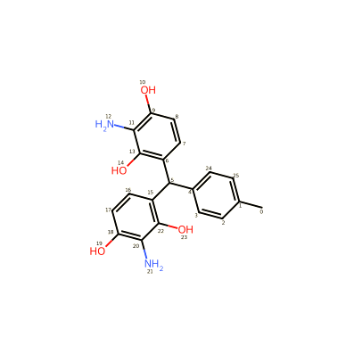 Cc1ccc(C(c2ccc(O)c(N)c2O)c2ccc(O)c(N)c2O)cc1